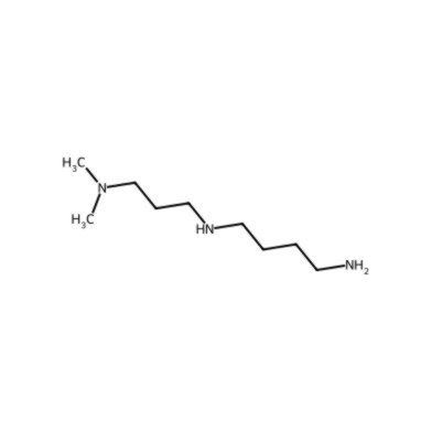 CN(C)CCCNCCCCN